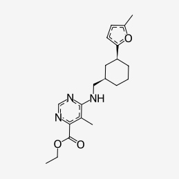 CCOC(=O)c1ncnc(NC[C@@H]2CCC[C@H](c3ccc(C)o3)C2)c1C